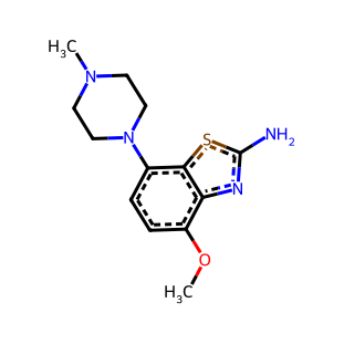 COc1ccc(N2CCN(C)CC2)c2sc(N)nc12